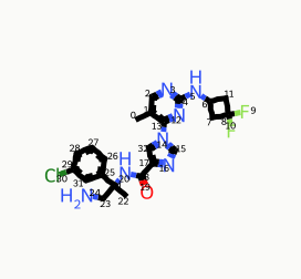 Cc1cnc(NC2CC(F)(F)C2)nc1-n1cnc(C(=O)NC(C)(CN)c2cccc(Cl)c2)c1